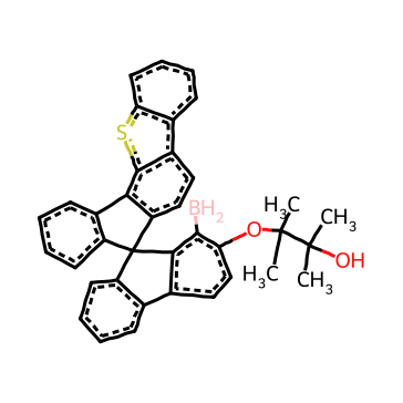 Bc1c(OC(C)(C)C(C)(C)O)ccc2c1C1(c3ccccc3-2)c2ccccc2-c2c1ccc1c2sc2ccccc21